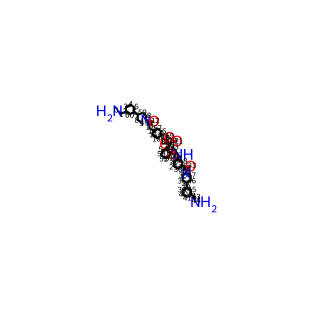 NCc1cccc(C2CCN(C(=O)Cc3ccc(B4OC(=O)[C@@](CC(=O)Nc5cccc(C(=O)N6CCC(c7cccc(CN)c7)CC6)c5)(c5ccccc5)O4)cc3)CC2)c1